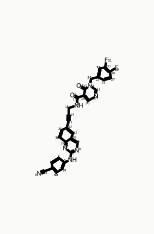 N#Cc1ccc(Nc2ncc3cc(C#CCNC(=O)c4cncn(Cc5ccc(F)c(F)c5)c4=O)ccc3n2)cc1